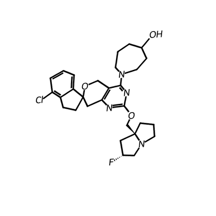 OC1CCCN(c2nc(OC[C@@]34CCCN3C[C@H](F)C4)nc3c2COC2(CCc4c(Cl)cccc42)C3)CC1